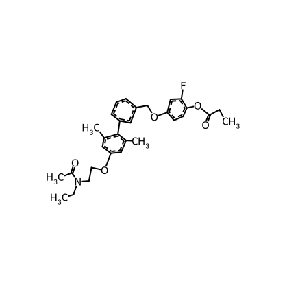 CCC(=O)Oc1ccc(OCc2cccc(-c3c(C)cc(OCCN(CC)C(C)=O)cc3C)c2)cc1F